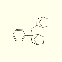 C1=CC2CC1CC2OC1(c2ccccc2)CC2CCC1C2